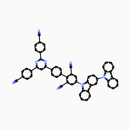 N#Cc1ccc(-c2cc(-c3ccc(-c4c(C#N)cc(-n5c6ccccc6c6cc(-n7c8ccccc8c8ccccc87)ccc65)cc4C#N)cc3)nc(-c3ccc(C#N)cc3)n2)cc1